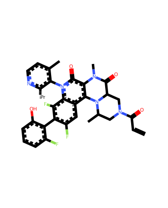 C=CC(=O)N1CC(C)N2c3c(c(=O)n(-c4c(C)ccnc4C(C)C)c4c(F)c(-c5c(O)cccc5F)c(F)cc34)N(C)C(=O)C2C1